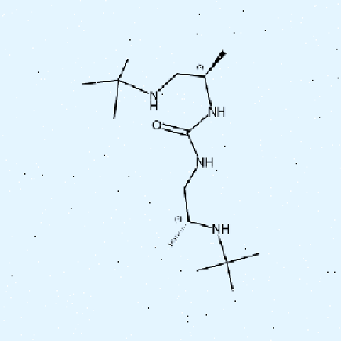 C[C@H](CNC(C)(C)C)NC(=O)NC[C@@H](C)NC(C)(C)C